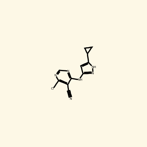 N#Cc1c(Cl)ncnc1Nc1cc(C2CC2)[nH]n1